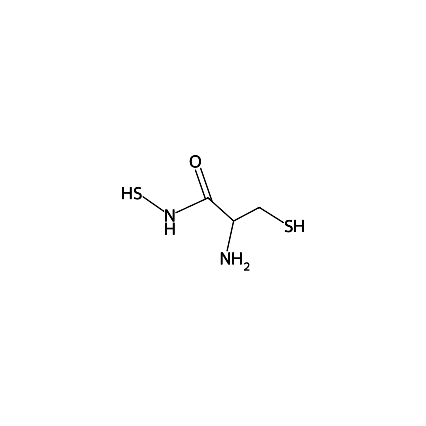 NC(CS)C(=O)NS